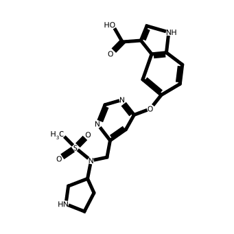 CS(=O)(=O)N(Cc1cc(Oc2ccc3[nH]cc(C(=O)O)c3c2)ncn1)C1CCNC1